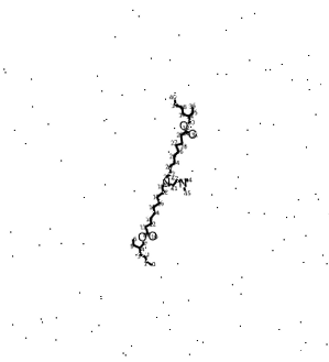 CCCCC(CC)COC(=O)CCCCCCCCCN(CCCCCCCCCC(=O)OCC(CC)CCCC)CCN(C)C